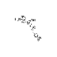 Nc1ncnc2c1ncn2[C@H]1C[C@H](O)[C@@H](COC(=O)OCCc2ccc([N+](=O)[O-])cc2)O1